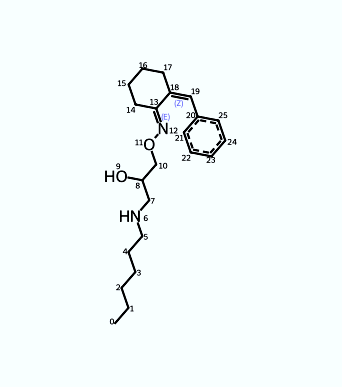 CCCCCCNCC(O)CO/N=C1\CCCC\C1=C\c1ccccc1